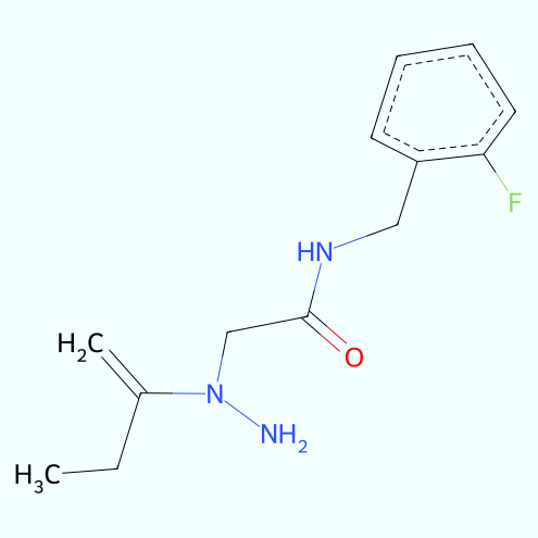 C=C(CC)N(N)CC(=O)NCc1ccccc1F